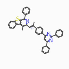 C/C(=C\c1nc(-c2ccccc2)c2sc3ccccc3c2c1C)c1ccc(-c2cc(-c3ccccc3)nc(-c3ccccc3)n2)cc1